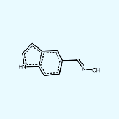 O/N=C/c1ccc2[nH]ccc2c1